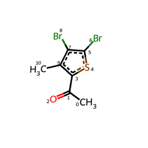 CC(=O)c1sc(Br)c(Br)c1C